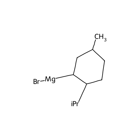 CC1CCC(C(C)C)[CH]([Mg][Br])C1